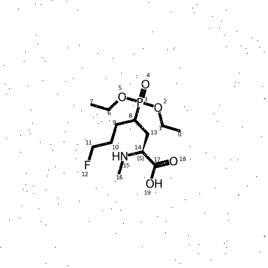 CCOP(=O)(OCC)C(CCCF)C[C@H](NC)C(=O)O